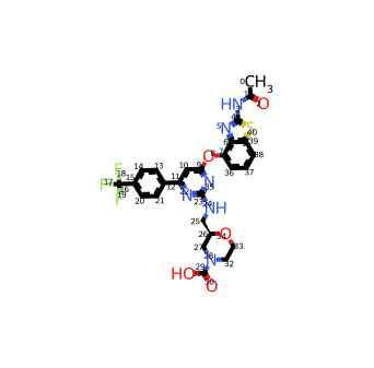 CC(=O)Nc1nc2c(Oc3cc(-c4ccc(C(F)(F)F)cc4)nc(NC[C@@H]4CN(C(=O)O)CCO4)n3)cccc2s1